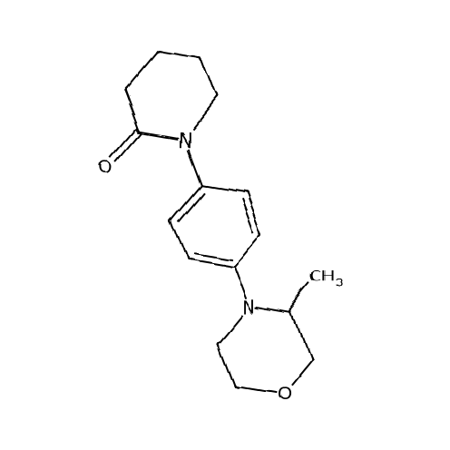 CC1COCCN1c1ccc(N2CCCCC2=O)cc1